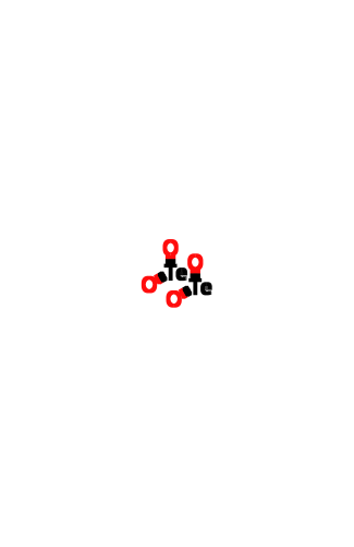 O=[Te]=O.O=[Te]=O